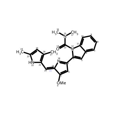 COC1=CC(c2cc3ccccc3n2C(=O)N(C)C)=N/C1=C\c1[nH]c(C)cc1C